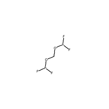 FP(F)OCOP(F)F